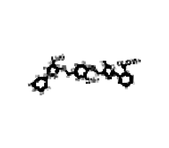 COC(=O)c1ccccc1-c1nc(COc2ccc(COc3nn(-c4ccccc4)cc3C=O)cc2OC)c(C)o1